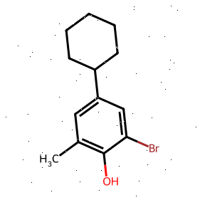 Cc1cc(C2CCCCC2)cc(Br)c1O